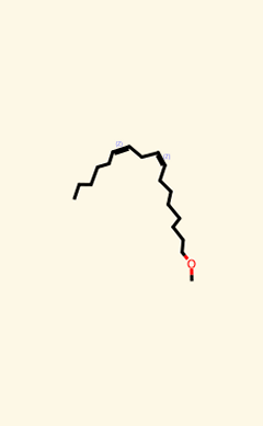 CCCCC/C=C\C/C=C\CCCCCCCOC